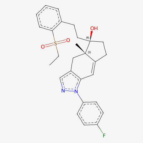 CCS(=O)(=O)c1ccccc1CC[C@]1(O)CCC2=Cc3c(cnn3-c3ccc(F)cc3)C[C@@]21C